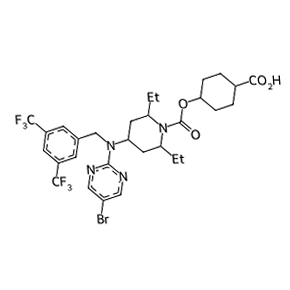 CCC1CC(N(Cc2cc(C(F)(F)F)cc(C(F)(F)F)c2)c2ncc(Br)cn2)CC(CC)N1C(=O)OC1CCC(C(=O)O)CC1